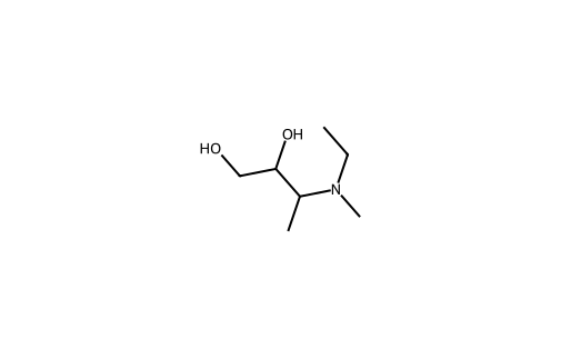 CCN(C)C(C)C(O)CO